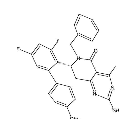 COc1ccc(-c2cc(F)cc(F)c2[C@H]2Cc3nc(N)nc(C)c3C(=O)N2Cc2ccccc2)cc1